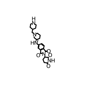 O=C1CCC(N2C(=O)c3ccc(N[C@H]4CCCN(CC5CCNCC5)C4)cc3C2=O)C(=O)N1